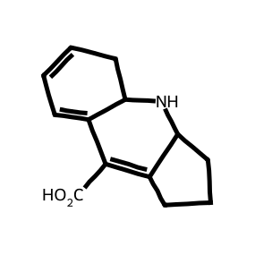 O=C(O)C1=C2CCCC2NC2CC=CC=C12